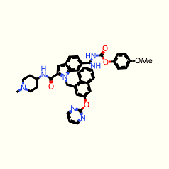 COc1ccc(OC(=O)NC(=N)c2ccc3cc(C(=O)NC4CCN(C)CC4)n(Cc4cc(Oc5ncccn5)cc5ccccc45)c3c2)cc1